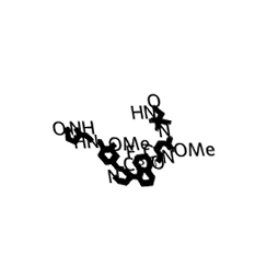 COc1cc(-c2nccc(-c3cccc4c3CCC[C@@H]4Oc3nc(OC)c(CN4CC5(CNC(=O)C5)C4)cc3C(F)(F)F)c2Cl)ccc1CNCC1CCC(=O)N1